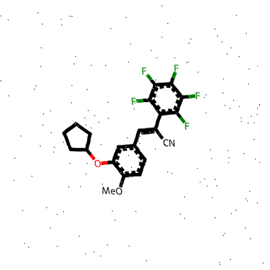 COc1ccc(C=C(C#N)c2c(F)c(F)c(F)c(F)c2F)cc1OC1CCCC1